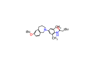 CCC(C)Oc1ccc2c(c1)CCCN(c1cc(C)c(NC(=O)CC(C)(C)C)c(C)c1)C2